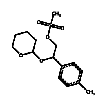 Cc1ccc(C(COS(C)(=O)=O)OC2CCCCO2)cc1